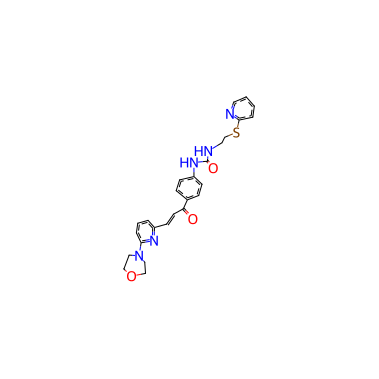 O=C(NCCSc1ccccn1)Nc1ccc(C(=O)/C=C/c2cccc(N3CCOCC3)n2)cc1